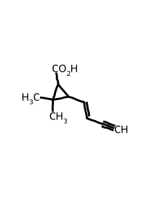 C#CC=CC1C(C(=O)O)C1(C)C